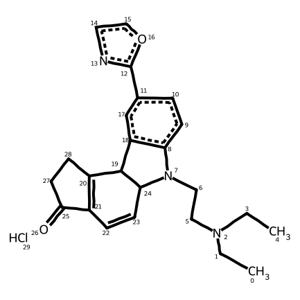 CCN(CC)CCN1c2ccc(-c3ncco3)cc2C2C3=C(C=CC21)C(=O)CC3.Cl